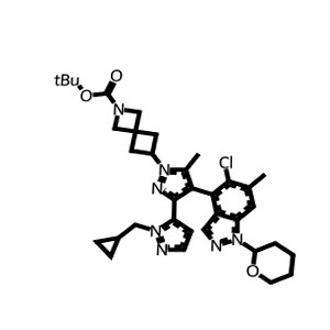 Cc1cc2c(cnn2C2CCCCO2)c(-c2c(-c3ccnn3CC3CC3)nn(C3CC4(C3)CN(C(=O)OC(C)(C)C)C4)c2C)c1Cl